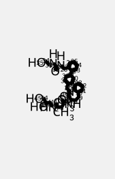 CC(C)(CC(=O)N[C@@H]1CCc2ccccc2N(Cc2ccc(-c3ccccc3CNC(=O)NCCO)cc2)C1=O)NC[C@H](O)CO